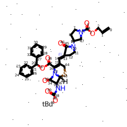 C=CCOC(=O)N1CC[C@@H](N2CC/C(=C\C3=C(C(=O)OC(c4ccccc4)c4ccccc4)N4C(=O)[C@@H](NC(=O)OC(C)(C)C)[C@H]4SC3)C2=O)C1